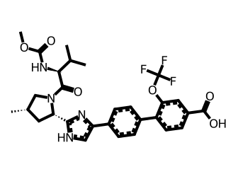 COC(=O)N[C@H](C(=O)N1C[C@@H](C)C[C@H]1c1nc(-c2ccc(-c3ccc(C(=O)O)cc3OC(F)(F)F)cc2)c[nH]1)C(C)C